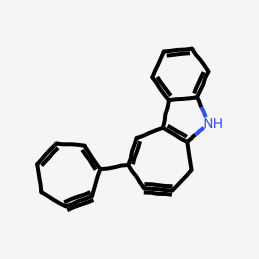 C1#CC(C2=Cc3c([nH]c4ccccc34)CC#C2)=CC=CC1